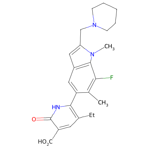 CCc1cc(C(=O)O)c(=O)[nH]c1-c1cc2cc(CN3CCCCC3)n(C)c2c(F)c1C